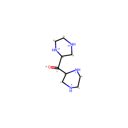 O=C(C1CNCCN1)C1CNCCN1